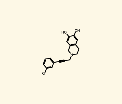 Oc1cc2c(cc1O)CN(CC#Cc1cccc(Cl)c1)CC2